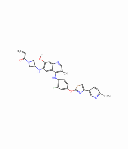 C=CC(=O)N1CC(Nc2cc3c(Nc4ccc(Oc5nc(-c6ccc(OC)nc6)cs5)cc4F)c(C#N)cnc3cc2OCC)C1